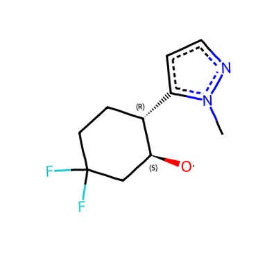 Cn1nccc1[C@H]1CCC(F)(F)C[C@@H]1[O]